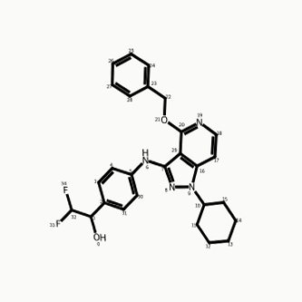 OC(c1ccc(Nc2nn(C3CCCCC3)c3ccnc(OCc4ccccc4)c23)cc1)C(F)F